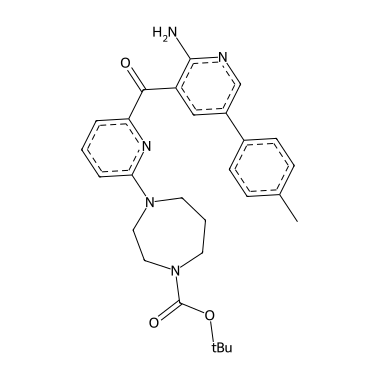 Cc1ccc(-c2cnc(N)c(C(=O)c3cccc(N4CCCN(C(=O)OC(C)(C)C)CC4)n3)c2)cc1